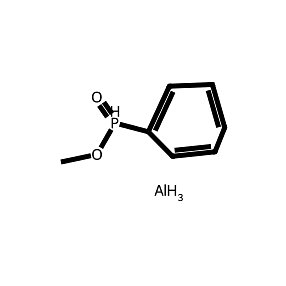 CO[PH](=O)c1ccccc1.[AlH3]